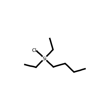 CCCC[Si](Cl)(CC)CC